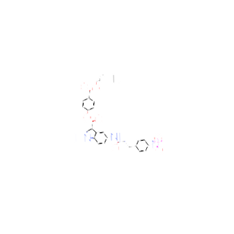 CCOC(=O)c1ccc(OC(=O)c2c[nH]c3ccc(NC(=O)CCc4ccc([N+](=O)[O-])cc4)cc23)cc1